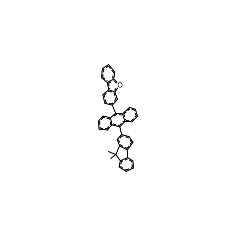 CC1(C)c2ccccc2-c2ccc(-c3c4ccccc4c(-c4ccc5c(c4)oc4ccccc45)c4ccccc34)cc21